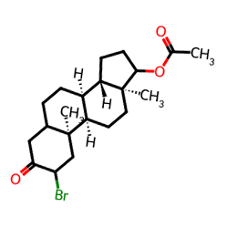 CC(=O)OC1CC[C@H]2[C@@H]3CCC4CC(=O)C(Br)C[C@]4(C)[C@@H]3CC[C@]12C